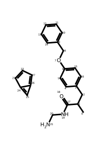 CC(Cc1ccc(OCc2ccccc2)cc1)C(=O)NCN.c1cc2cc-2c1